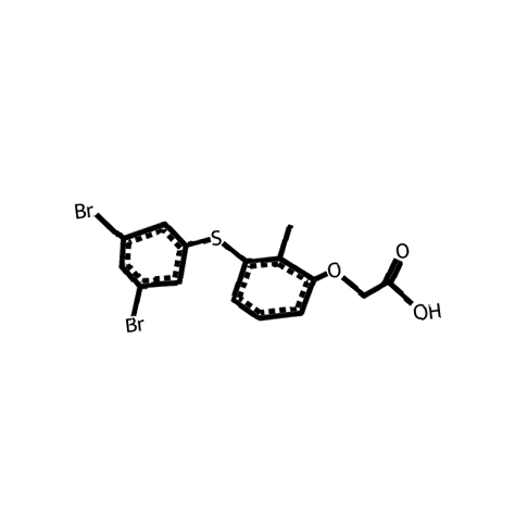 Cc1c(OCC(=O)O)cccc1Sc1cc(Br)cc(Br)c1